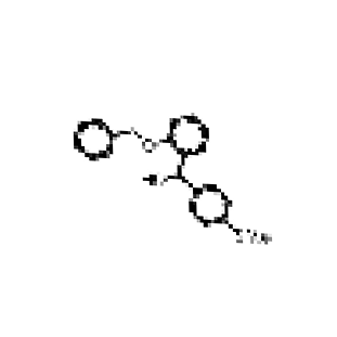 CSc1ccc(C(O)c2ccccc2OCc2ccccc2)cc1